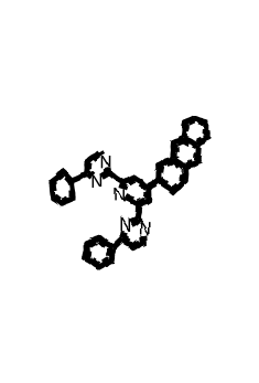 c1ccc(-c2ccnc(-c3cc(-c4ccc5cc6ccccc6cc5c4)cc(-c4nccc(-c5ccccc5)n4)n3)n2)cc1